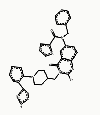 CCc1nc2ccc(N(Cc3ccccc3)C(=O)c3cccs3)cc2c(=O)n1CC1CCN(c2ccccc2-c2nn[nH]n2)CC1